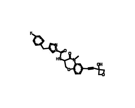 CN1C(=O)C(NC(=O)n2cc(Cc3ccc(F)cc3)cn2)COc2ccc(C#CC3(O)COC3)cc21